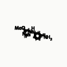 COc1cc(Nc2cccc(CN)c2)ncn1